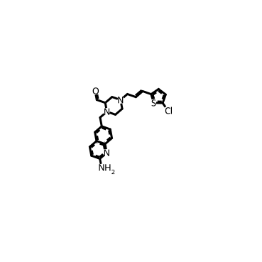 Nc1ccc2cc(CN3CCN(CC=Cc4ccc(Cl)s4)CC3C=O)ccc2n1